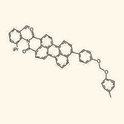 Cc1ccc(OCOc2ccc(-c3ccc4c5ccc6c7c(ccc(c8cccc3c84)c75)C(=O)N(c3c(C(C)C)cccc3C(C)C)C6=O)cc2)cc1